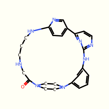 O=C1CNCCCNc2ccc(cn2)-c2ccnc(n2)Nc2cccc(c2)N2CCN1CC2